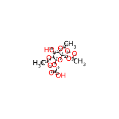 CC(=O)OCC1OC(OCC(=O)O)C(OC(C)=O)C(O)C1OC(C)=O